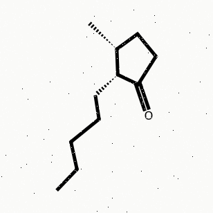 CCCCC[C@H]1C(=O)CC[C@H]1C